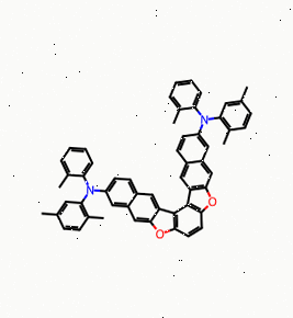 Cc1ccc(C)c(N(c2ccc3cc4c(cc3c2)oc2ccc3oc5cc6cc(N(c7ccccc7C)c7cc(C)ccc7C)ccc6cc5c3c24)c2ccccc2C)c1